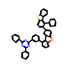 c1ccc(-c2nc(-c3ccccc3)nc(-c3cccc(-c4cccc5oc6ccc(-c7ccc8sc9ccccc9c8c7-c7ccccc7)cc6c45)c3)n2)cc1